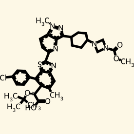 COC(=O)N1CN(C2CCC(c3nn(C)c4ccc(-c5nc6cc(C)c([C@H](OC(C)(C)C)C(=O)O)c(-c7ccc(Cl)cc7)c6s5)nc34)CC2)C1